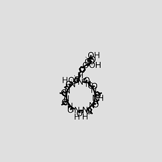 CC[C@@H]1NC(=O)[C@H]([C@H](O)[C@H](C)C/C=C/c2ccc(OCP(=O)(O)O[C@H](C)C(=O)O)cc2)N(C)C(=O)[C@H](C(C)C)N(C)C(=O)[C@H](CC(C)C)N(C)C(=O)[C@H](CC(C)C)N(C)C(=O)[C@@H](C)NC(=O)[C@H](C)NC(=O)[C@H](CC(C)C)N(C)C(=O)[C@H](C(C)C)NC(=O)[C@H](CC(C)C)N(C)C(=O)CN(C)C1=O